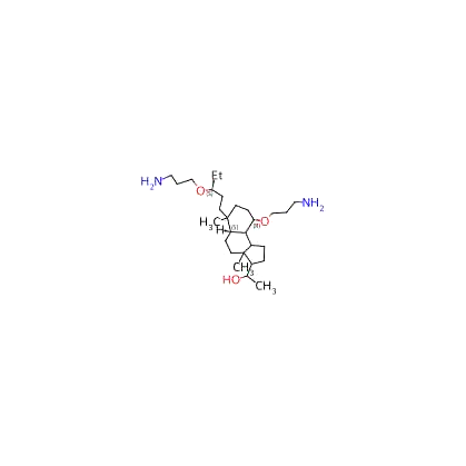 CC[C@@H](CCC1(C)CC[C@@H](OCCCN)C2C3CCC(C(C)O)C3(C)CC[C@@H]21)OCCCN